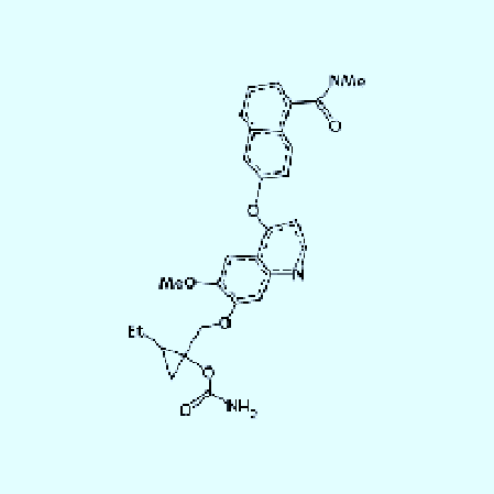 CCC1CC1(COc1cc2nccc(Oc3ccc4c(C(=O)NC)cccc4c3)c2cc1OC)OC(N)=O